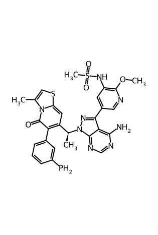 COc1ncc(-c2nn([C@@H](C)c3cc4scc(C)n4c(=O)c3-c3cccc(P)c3)c3ncnc(N)c23)cc1NS(C)(=O)=O